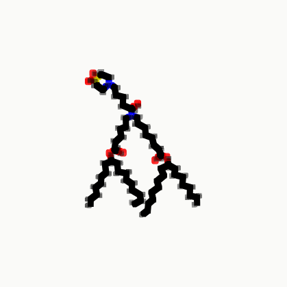 CCCCCCCCCC(CCCCCCCC)OC(=O)CCCCCCCN(CCCCCC(=O)OC(CCCCCCCC)CCCCCCCCC)C(=O)CCCCN1CCS(=O)(=O)CC1